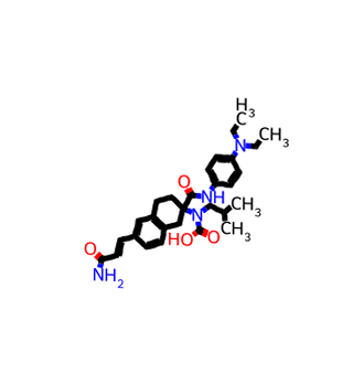 CCN(CC)c1ccc(NC(=O)C2(N(CC(C)C)C(=O)O)CCc3cc(/C=C/C(N)=O)ccc3C2)cc1